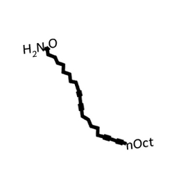 CCCCCCCCC#CC#CCCCCCC#CC#CCCCCCCCCC(N)=O